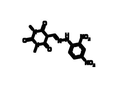 CN1C(=O)C(C=NNc2ccc([N+](=O)[O-])cc2[N+](=O)[O-])C(=O)N(C)C1=O